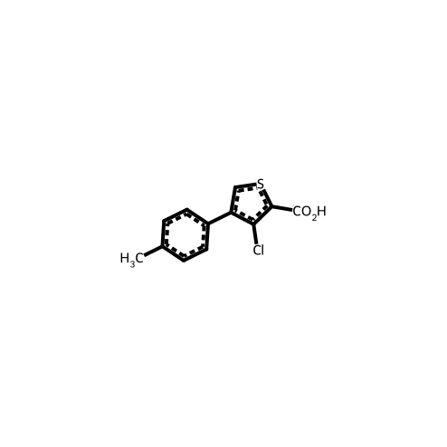 Cc1ccc(-c2csc(C(=O)O)c2Cl)cc1